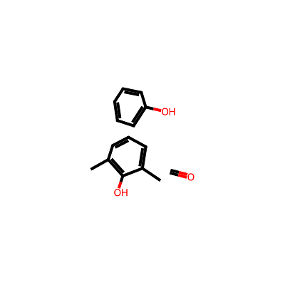 C=O.Cc1cccc(C)c1O.Oc1ccccc1